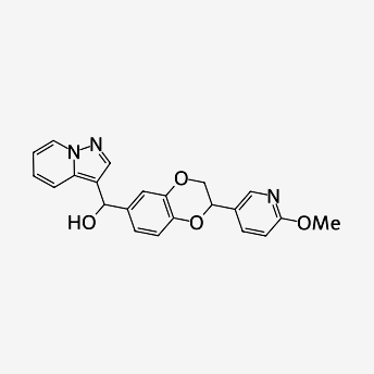 COc1ccc(C2COc3cc(C(O)c4cnn5ccccc45)ccc3O2)cn1